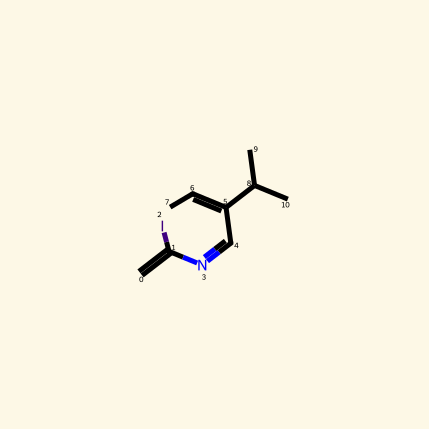 C=C(I)/N=C\C(=C/C)C(C)C